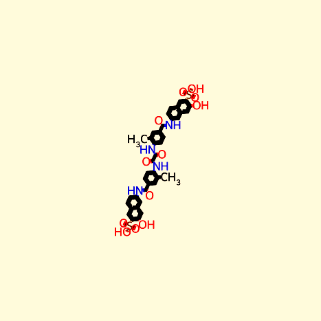 Cc1cc(C(=O)Nc2ccc3cc(S(=O)(=O)O)c(O)cc3c2)ccc1NC(=O)C(=O)Nc1ccc(C(=O)Nc2ccc3cc(S(=O)(=O)O)c(O)cc3c2)cc1C